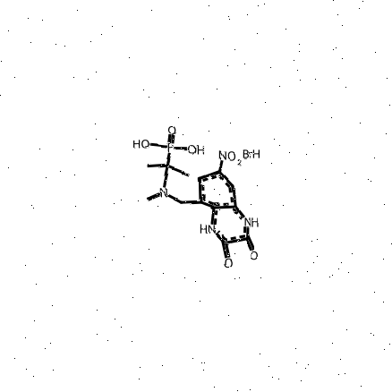 Br.CN(Cc1cc([N+](=O)[O-])cc2[nH]c(=O)c(=O)[nH]c12)C(C)(C)P(=O)(O)O